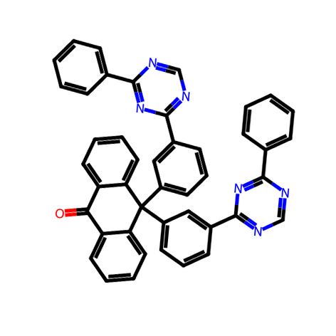 O=C1c2ccccc2C(c2cccc(-c3ncnc(-c4ccccc4)n3)c2)(c2cccc(-c3ncnc(-c4ccccc4)n3)c2)c2ccccc21